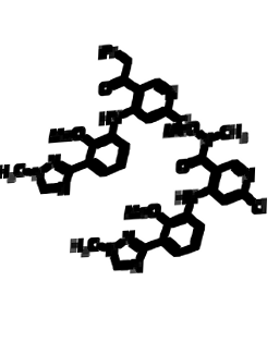 COc1c(Nc2cc(Cl)ncc2C(=O)CC(C)C)cccc1-c1ncn(C)n1.COc1c(Nc2cc(Cl)ncc2C(=O)N(C)OC)cccc1-c1ncn(C)n1